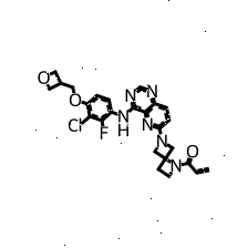 C=CC(=O)N1CCC12CN(c1ccc3ncnc(Nc4ccc(OCC5COC5)c(Cl)c4F)c3n1)C2